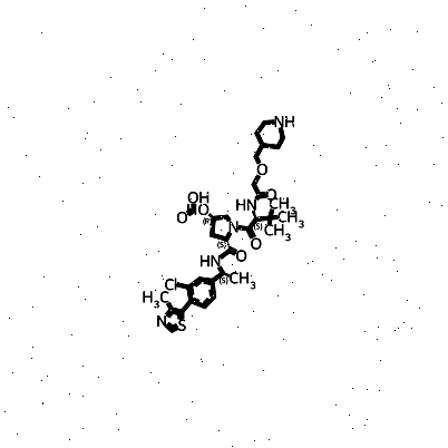 Cc1ncsc1-c1ccc([C@H](C)NC(=O)[C@@H]2C[C@@H](O)CN2C(=O)[C@@H](NC(=O)COCC2CCNCC2)C(C)(C)C)cc1Cl.O=CO